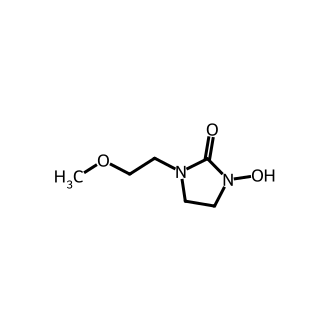 COCCN1CCN(O)C1=O